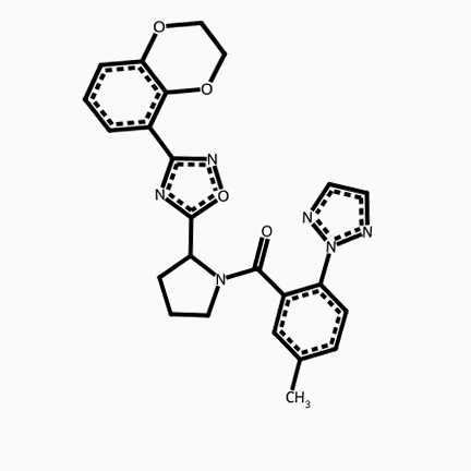 Cc1ccc(-n2nccn2)c(C(=O)N2CCCC2c2nc(-c3cccc4c3OCCO4)no2)c1